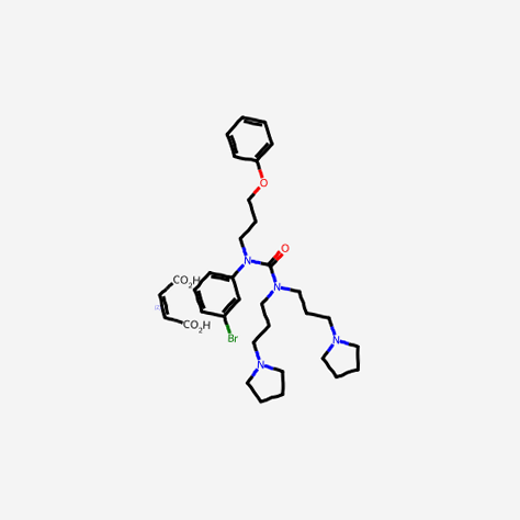 O=C(N(CCCN1CCCC1)CCCN1CCCC1)N(CCCOc1ccccc1)c1cccc(Br)c1.O=C(O)/C=C\C(=O)O